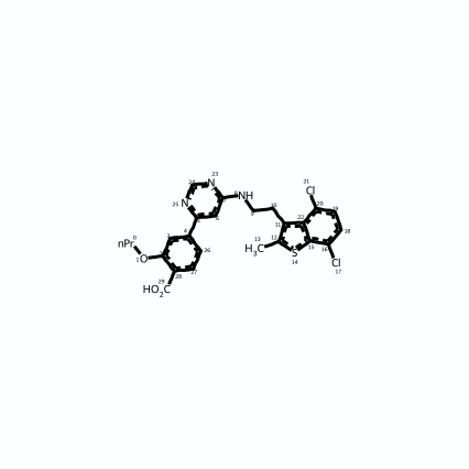 CCCOc1cc(-c2cc(NCCc3c(C)sc4c(Cl)ccc(Cl)c34)ncn2)ccc1C(=O)O